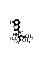 C=C(C)CC(C)(CC(C)C)NC(=O)c1cnc2c(F)cccc2c1